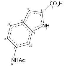 CC(=O)Nc1ccc2cc(C(=O)O)[nH]c2c1